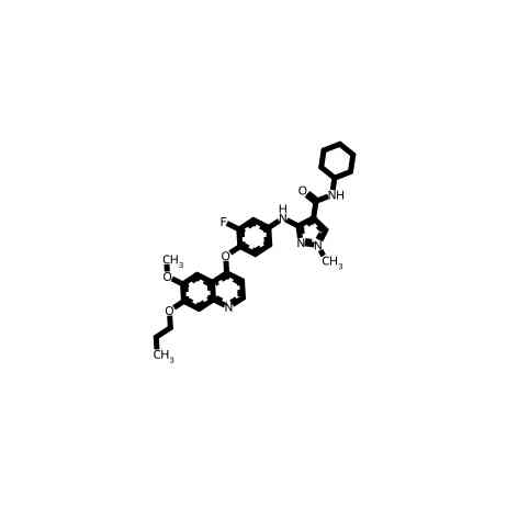 CCCOc1cc2nccc(Oc3ccc(Nc4nn(C)cc4C(=O)NC4CCCCC4)cc3F)c2cc1OC